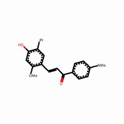 CNc1ccc(C(=O)C=Cc2cc(C(C)C)c(O)cc2OC)cc1